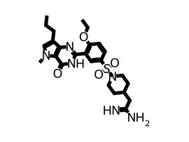 CCCc1cn(C)c2c(=O)[nH]c(-c3cc(S(=O)(=O)N4CCC(CC(=N)N)CC4)ccc3OCC)nc12